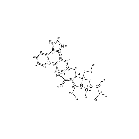 CCCC1(COC(=O)C(C)C)N(Cc2ccc(-c3ccccc3-c3nnn[nH]3)cc2)C(C(=O)O)=C(CC)N1OC